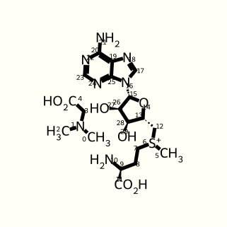 CN(C)CC(=O)O.C[S+](CC[C@H](N)C(=O)O)C[C@H]1O[C@@H](n2cnc3c(N)ncnc32)[C@H](O)[C@@H]1O